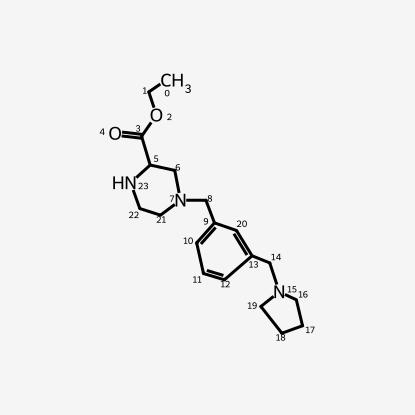 CCOC(=O)C1CN(Cc2cccc(CN3CCCC3)c2)CCN1